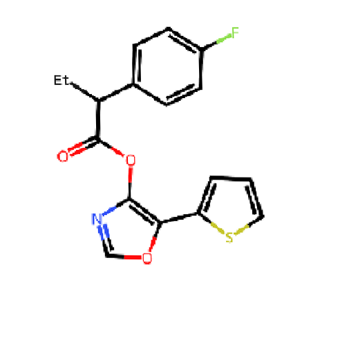 CCC(C(=O)Oc1ncoc1-c1cccs1)c1ccc(F)cc1